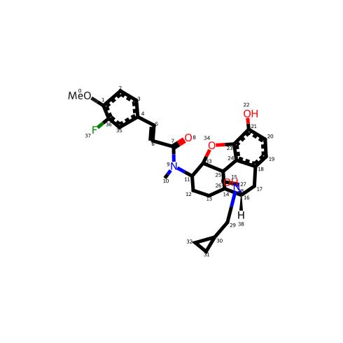 COc1ccc(/C=C/C(=O)N(C)C2CC[C@@]3(O)[C@H]4Cc5ccc(O)c6c5[C@@]3(CCN4CC3CC3)C2O6)cc1F